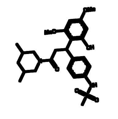 COc1cc(O)c(C(CC(=O)N2CC(C)CC(C)C2)c2ccc(NS(C)(=O)=O)cc2)c(OC)c1